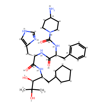 CC(C)(O)[C@@H](O)[C@H](CC1CCCCC1)NC(=O)[C@H](Cc1c[nH]cn1)NC(=O)[C@H](Cc1ccccc1)NC(=O)N1CCC(N)CC1